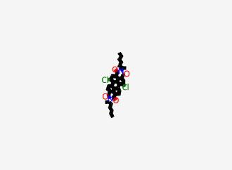 CCCCCC(C)N1C(=O)c2ccc3c4c(Cl)cc5c6c(cc(Cl)c(c7ccc(c2c37)C1=O)c64)C(=O)N(C(C)CCCCC)C5=O